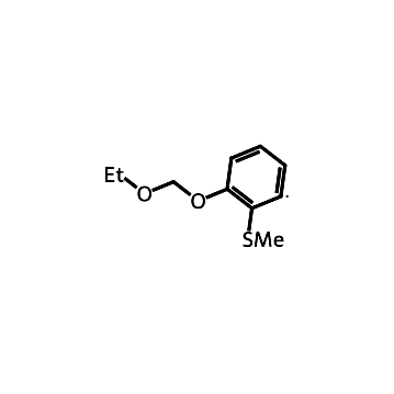 CCOCOc1ccc[c]c1SC